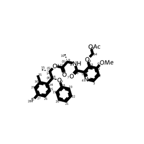 COc1ccnc(C(=O)N[C@@H](C)C(=O)O[C@@H](C)[C@H](Oc2ccccc2)c2ccc(F)cc2C)c1OCOC(C)=O